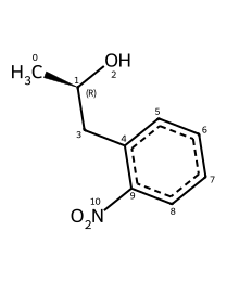 C[C@@H](O)Cc1ccccc1[N+](=O)[O-]